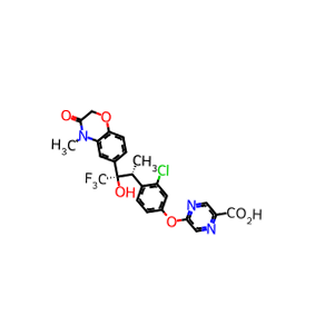 C[C@H](c1ccc(Oc2cnc(C(=O)O)cn2)cc1Cl)[C@@](O)(c1ccc2c(c1)N(C)C(=O)CO2)C(F)(F)F